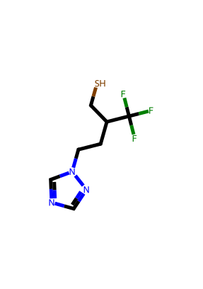 FC(F)(F)C(CS)CCn1cncn1